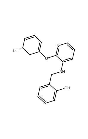 Oc1ccccc1CNc1cccnc1OC1=CC=C[C@@H](I)C1